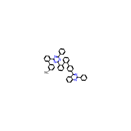 N#Cc1cccc(-c2ccccc2-c2nc(-c3ccccc3)nc(-c3ccccc3-c3ccccc3-c3ccc(-c4nc(-c5ccccc5)nc5ccccc45)cc3)n2)c1